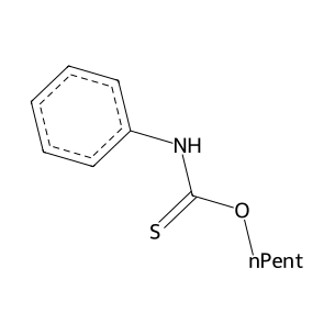 CCCCCOC(=S)Nc1ccccc1